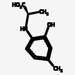 Cc1ccc(N[C@@H](C)C(=O)O)c(O)c1